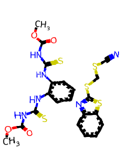 COC(=O)NC(=S)Nc1ccccc1NC(=S)NC(=O)OC.N#CSCSc1nc2ccccc2s1